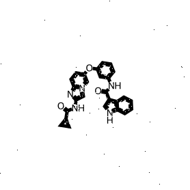 O=C(Nc1cccc(Oc2ccc3nc(NC(=O)C4CC4)cn3c2)c1)c1c[nH]c2ccccc12